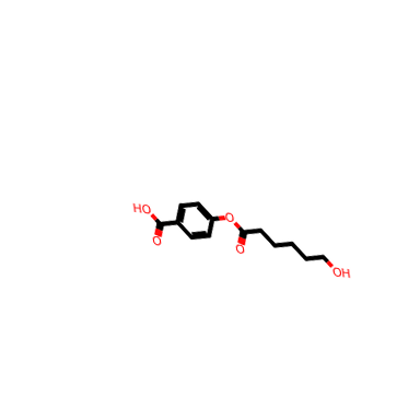 O=C(CCCCCO)Oc1ccc(C(=O)O)cc1